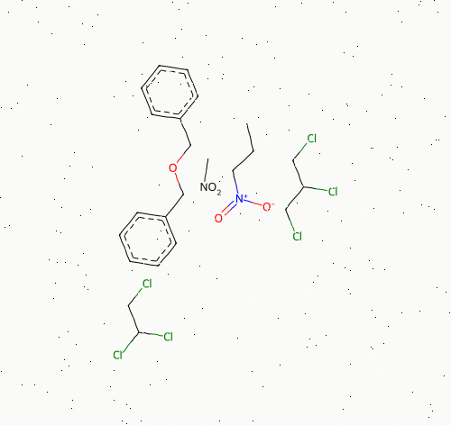 CCC[N+](=O)[O-].C[N+](=O)[O-].ClCC(Cl)CCl.ClCC(Cl)Cl.c1ccc(COCc2ccccc2)cc1